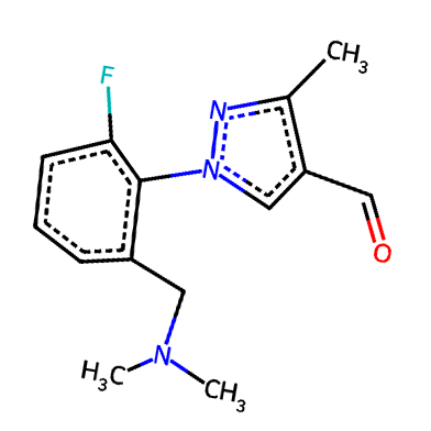 Cc1nn(-c2c(F)cccc2CN(C)C)cc1C=O